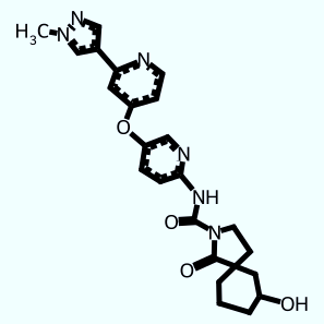 Cn1cc(-c2cc(Oc3ccc(NC(=O)N4CCC5(CCCC(O)C5)C4=O)nc3)ccn2)cn1